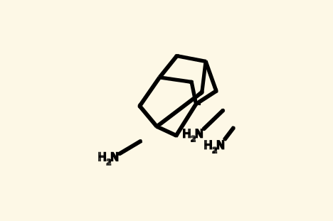 C1[C]2CC3CC1CC(C2)C3.CN.CN.CN